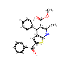 COC(=O)C1=C(C)Nc2sc(C(=O)c3ccccc3)cc2C1c1ccccc1